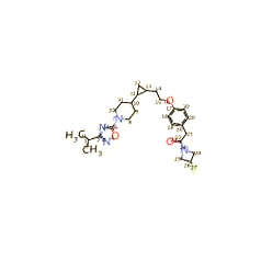 CC(C)c1noc(N2CCC(C3CC3CCOc3ccc(CC(=O)N4CC(F)C4)cc3)CC2)n1